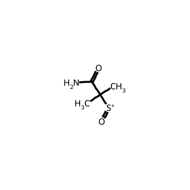 CC(C)([S+]=O)C(N)=O